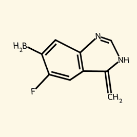 Bc1cc2c(cc1F)C(=C)NC=N2